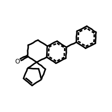 O=C1CCc2cc(-c3ccccc3)ccc2C12CC1C=CC2C1